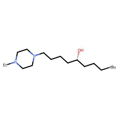 CCN1CCN(CCCC[C@H](O)CCCC(C)(C)C)CC1